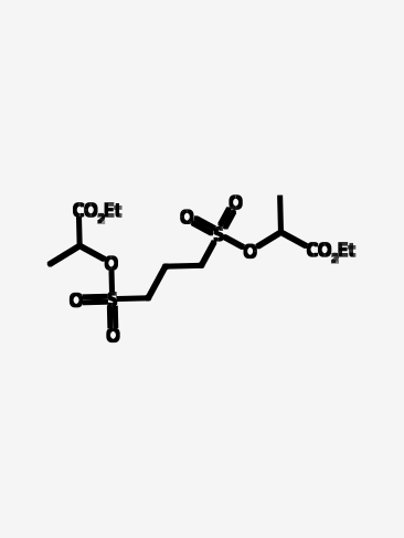 CCOC(=O)C(C)OS(=O)(=O)CCCS(=O)(=O)OC(C)C(=O)OCC